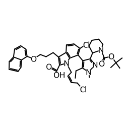 CCc1c(-c2c(Cl)ccc3c(CCCOc4cccc5ccccc45)c(C(=O)O)n(C/C=C\CCl)c23)c(C2CCCCN2C(=O)OC(C)(C)C)nn1C